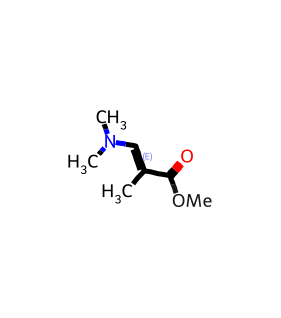 COC(=O)/C(C)=C/N(C)C